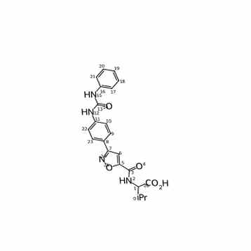 CC(C)C(NC(=O)c1cc(-c2ccc(NC(=O)Nc3ccccc3)cc2)no1)C(=O)O